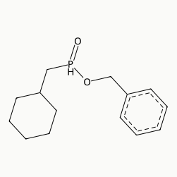 O=[PH](CC1CCCCC1)OCc1ccccc1